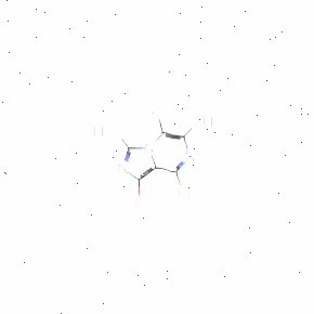 Cc1nc(Cl)c2c(Br)nc(C)n2c1C